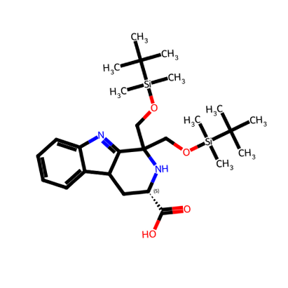 CC(C)(C)[Si](C)(C)OCC1(CO[Si](C)(C)C(C)(C)C)N[C@H](C(=O)O)CC2C1=Nc1ccccc12